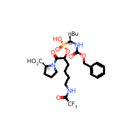 CCCC[C@@H](NC(=O)OCc1ccccc1)P(=O)(O)OC(CCCCNC(=O)C(F)(F)F)C(=O)N1CCC[C@H]1C(=O)O